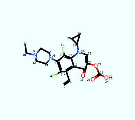 C=Cc1c(F)c(N2CCN(CC)CC2)c(F)c2c1c(=O)c(OC(=O)O)cn2C1CC1